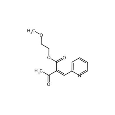 COCCOC(=O)C(=Cc1ccccn1)C(C)=O